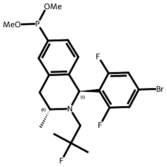 COP(OC)c1ccc2c(c1)C[C@@H](C)N(CC(C)(C)F)[C@@H]2c1c(F)cc(Br)cc1F